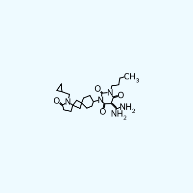 CCCCN1C(=O)C(=C(N)N)C(=O)N(C2CCC3(CC2)CC2(CCC(=O)N2CC2CC2)C3)C1=O